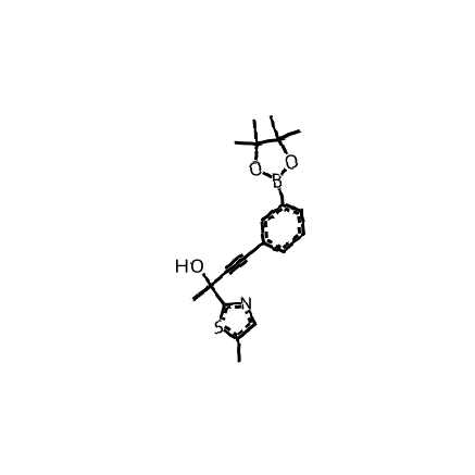 Cc1cnc(C(C)(O)C#Cc2cccc(B3OC(C)(C)C(C)(C)O3)c2)s1